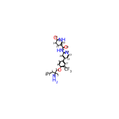 CC(C)CC(C)(N)COc1ccc(-c2ccnc(NC(=O)C3=CNC(=O)CC3)c2)cc1C(F)(F)F